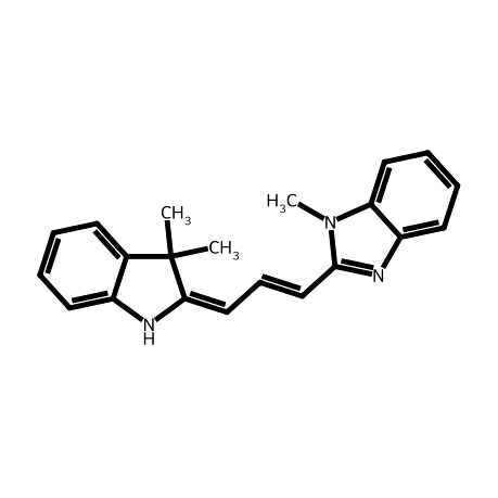 Cn1c(/C=C/C=C2/Nc3ccccc3C2(C)C)nc2ccccc21